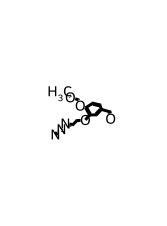 COCOc1ccc(C=O)cc1OCCN=[N+]=[N-]